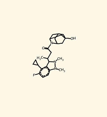 CC(CC(=O)N1C2CC3CC1CC(O)(C3)C2)C1c2c(ccc(F)c2C2CC2)N(C)N1C